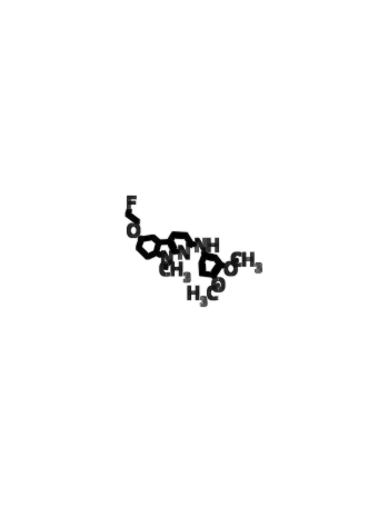 COc1ccc(Nc2ccc3c(n2)N(C)C2CCC(OCCF)CC32)cc1OC